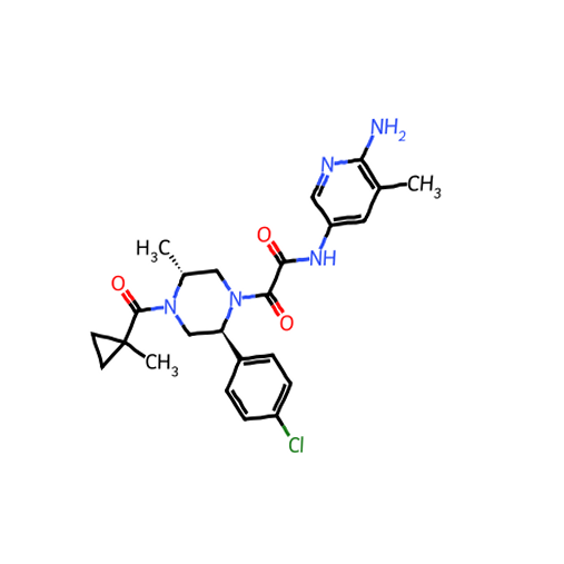 Cc1cc(NC(=O)C(=O)N2C[C@@H](C)N(C(=O)C3(C)CC3)C[C@@H]2c2ccc(Cl)cc2)cnc1N